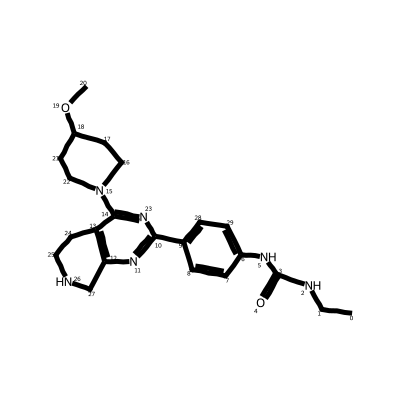 CCNC(=O)Nc1ccc(-c2nc3c(c(N4CCC(OC)CC4)n2)CCNC3)cc1